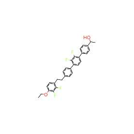 CCOc1ccc(CCc2ccc(-c3ccc(-c4ccc(C(C)O)cc4)c(F)c3F)cc2)c(F)c1F